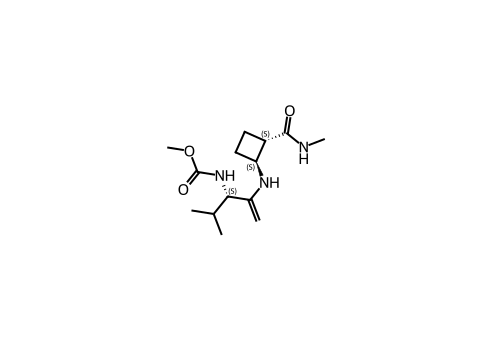 C=C(N[C@H]1CC[C@@H]1C(=O)NC)[C@@H](NC(=O)OC)C(C)C